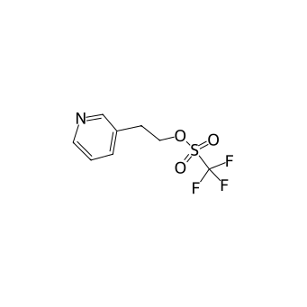 O=S(=O)(OCCc1cccnc1)C(F)(F)F